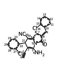 C#CC1=C(N)n2c(s/c(=C\c3ccccc3Cl)c2=O)=C(C#N)C1c1ccccc1Cl